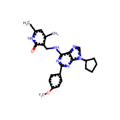 Cc1cc(C)c(CNc2nc(-c3ccc(OC(F)(F)F)cc3)nc3c2ncn3C2CCCC2)c(=O)[nH]1